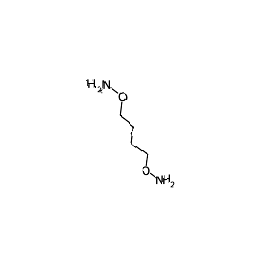 NOCCCCON